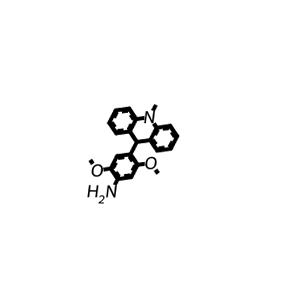 COc1cc(C2c3ccccc3N(C)c3ccccc32)c(OC)cc1N